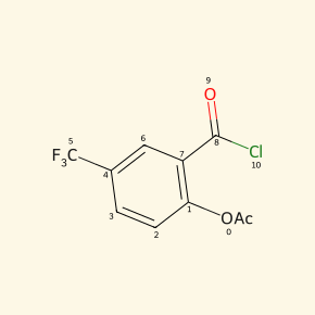 CC(=O)Oc1ccc(C(F)(F)F)cc1C(=O)Cl